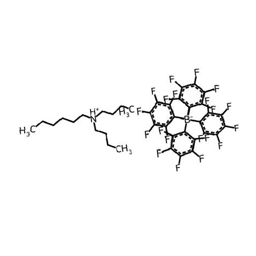 CCCCCC[NH+](CCCC)CCCC.Fc1c(F)c(F)c([B-](c2c(F)c(F)c(F)c(F)c2F)(c2c(F)c(F)c(F)c(F)c2F)c2c(F)c(F)c(F)c(F)c2F)c(F)c1F